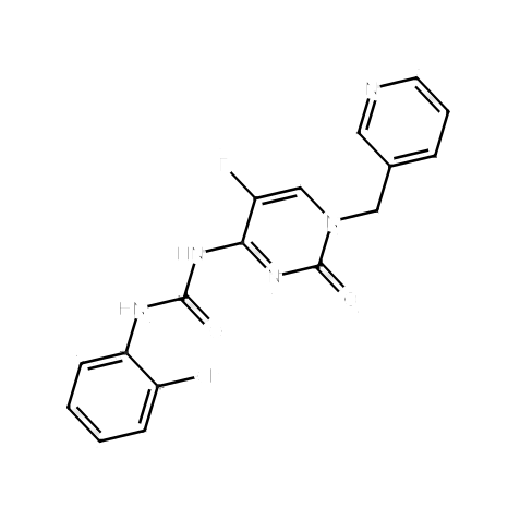 O=C(Nc1ccccc1Cl)Nc1nc(=O)n(Cc2cccnc2)cc1F